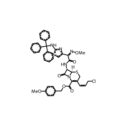 CO/N=C(\C(=O)N[C@@H]1C(=O)N2C(C(=O)OCc3ccc(OC)cc3)=C(/C=C\CCl)CS[C@H]12)c1csc(NC(c2ccccc2)(c2ccccc2)c2ccccc2)n1